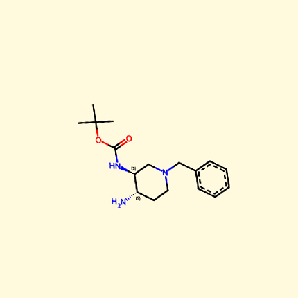 CC(C)(C)OC(=O)N[C@H]1CN(Cc2ccccc2)CC[C@@H]1N